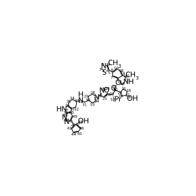 Cc1ncsc1-c1ccc([C@H](C)NC(=O)[C@@H]2C[C@@H](O)CC2C(=O)[C@@H](c2cc(N3CCC(CN[C@H]4CCc5[nH]c6nnc(-c7ccccc7O)cc6c5C4)CC3)no2)C(C)C)cc1